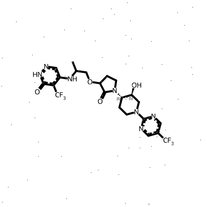 CC(COC1CCN([C@H]2CCN(c3ncc(C(F)(F)F)cn3)C[C@@H]2O)C1=O)Nc1cn[nH]c(=O)c1C(F)(F)F